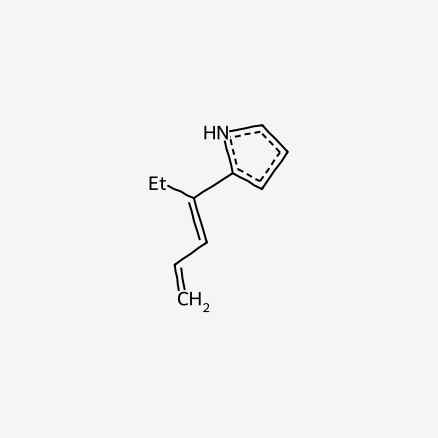 C=CC=C(CC)c1ccc[nH]1